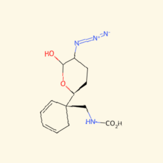 [N-]=[N+]=NC1CC[C@@H]([C@@]2(CNC(=O)O)C=CC=CC2)OC1O